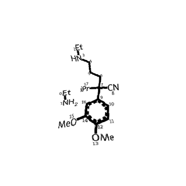 CCN.CCNCCCC(C#N)(c1ccc(OC)c(OC)c1)C(C)C